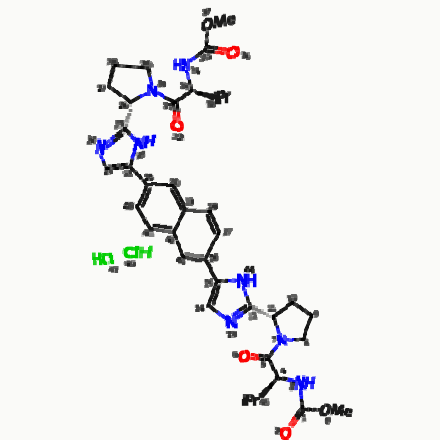 COC(=O)N[C@H](C(=O)N1CCC[C@H]1c1ncc(-c2ccc3cc(-c4cnc([C@@H]5CCCN5C(=O)[C@@H](NC(=O)OC)C(C)C)[nH]4)ccc3c2)[nH]1)C(C)C.Cl.Cl